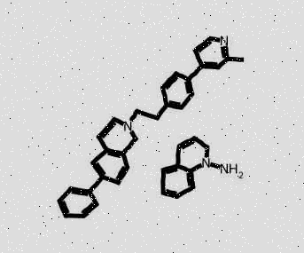 Cc1cc(-c2ccc(CCN3C=Cc4cc(-c5ccccc5)ccc4C3)cc2)ccn1.NN1CC=Cc2ccccc21